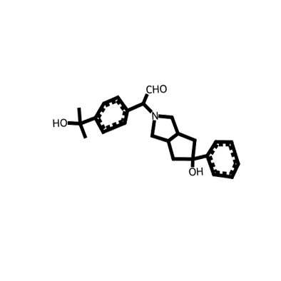 CC(C)(O)c1ccc(C(C=O)N2CC3CC(O)(c4ccccc4)CC3C2)cc1